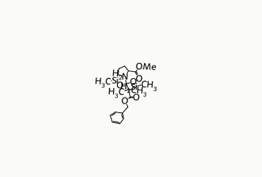 COC(=O)C1CCCN1C(O[SiH2]C)(O[SiH2]C)C(C)(C)C(=O)OCc1ccccc1